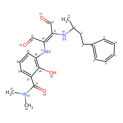 CC(CCc1ccccc1)N/C(C=O)=C(/C=O)Nc1cccc(C(=O)N(C)C)c1O